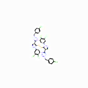 Clc1ccc(-n2ncc(-c3nnn(Cc4ccc(Br)cc4)n3)c2SSc2c(-c3nnn(Cc4ccc(Br)cc4)n3)cnn2-c2ccc(Cl)c(Cl)c2)cc1Cl